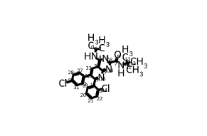 CC(C)Nc1nc(C(=O)NC(C)(C)C)nc2nc(-c3ccccc3Cl)c(-c3ccc(Cl)cc3)cc12